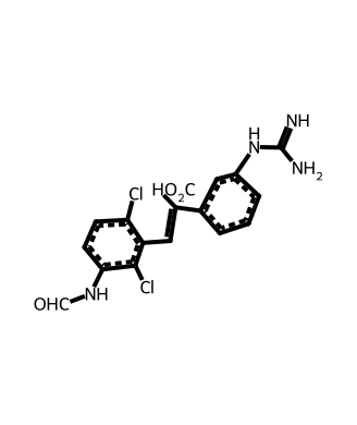 N=C(N)Nc1cccc(C(=Cc2c(Cl)ccc(NC=O)c2Cl)C(=O)O)c1